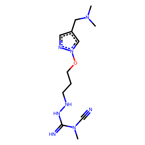 CN(C)Cc1cnn(OCCCNNC(=N)N(C)C#N)c1